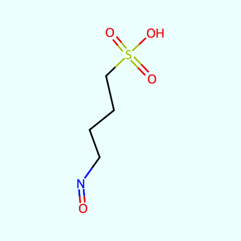 O=NCCCCS(=O)(=O)O